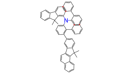 CC1(C)c2ccccc2-c2cccc(N(c3ccccc3-c3ccccc3)c3cccc(-c4ccc5c(c4)-c4ccc6ccccc6c4C5(C)C)c3-c3ccccc3)c21